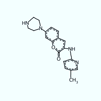 Cc1ccc(Nc2cc3ccc(N4CCNCC4)cc3oc2=O)nc1